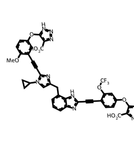 COc1ccc(Oc2[nH]nnc2C(=O)O)cc1C#Cc1nc(Cc2cccc3nc(C#Cc4ccc(Oc5[nH]nnc5C(=O)O)cc4OC(F)(F)F)[nH]c23)cn1C1CC1